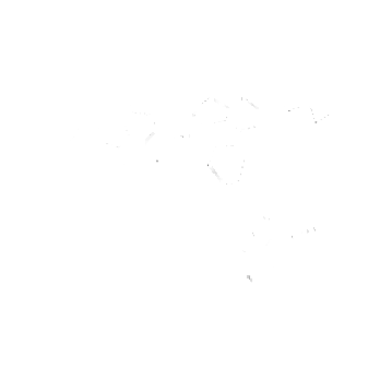 CCCCCC(=Nc1ccccc1)C(CCCC)=Nc1ccccc1.CCCCCc1c(C)cc(O)c(O)c1C(=O)[O-].CCCCCc1c(C)cc(O)c(O)c1C(=O)[O-].[Ni+2]